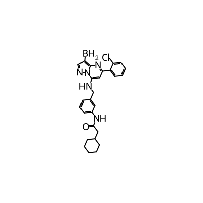 Bc1cnn2c(NCc3cccc(NC(=O)CC4CCCCC4)c3)cc(-c3ccccc3Cl)nc12